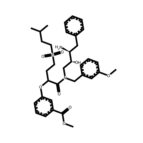 COC(=O)c1cccc(OC(CCS(=O)(=O)CCC(C)C)C(=O)N(Cc2cccc(OC)c2)C[C@@H](O)[C@@H](N)Cc2ccccc2)c1